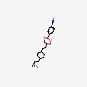 CCCC1CCC(CCC2COC(c3ccc(C#N)cc3)OC2)CC1